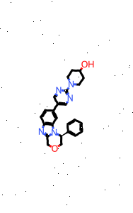 OC1CCN(c2ncc(-c3ccc4nc5n(c4c3)[C@@H](c3ccccc3)COC5)cn2)CC1